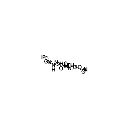 CC(C)CC(=O)N1CC(Nc2cc(C(=O)NC[C@@](C)(O)CN3CCc4cc(OCc5cnco5)ccc4C3)ccn2)C1